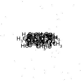 COC1C(CO)OC2OC3C(C(=O)O)OC(OC4C(CO)OC(OC5C(C(=O)O)OC(C)C6O[Si](C)(C)OC65)C(NC(C)=O)C4O)C(O)C3O[Si](C)(C)N(C(C)=O)C2C1O